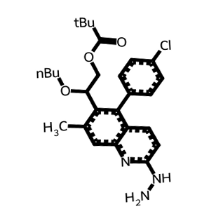 CCCCOC(COC(=O)C(C)(C)C)c1c(C)cc2nc(NN)ccc2c1-c1ccc(Cl)cc1